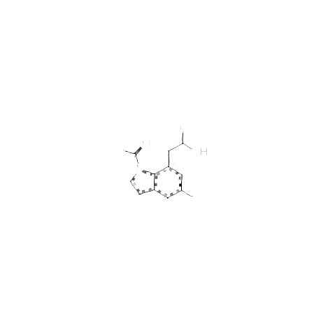 CC(C)Cc1cc(F)cc2ccn(C(=O)O)c12